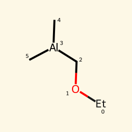 CCO[CH2][Al]([CH3])[CH3]